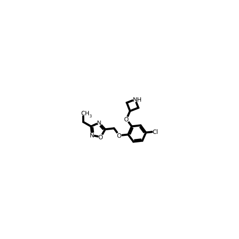 CCc1noc(COc2ccc(Cl)cc2OC2CNC2)n1